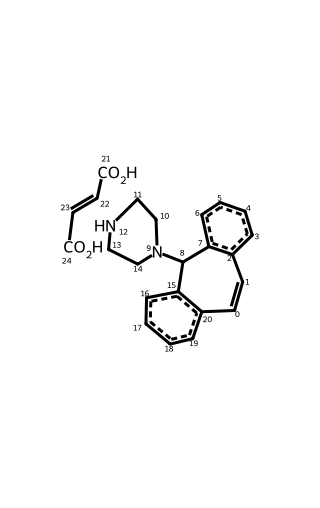 C1=Cc2ccccc2C(N2CCNCC2)c2ccccc21.O=C(O)C=CC(=O)O